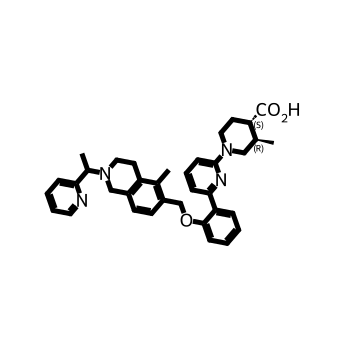 Cc1c(COc2ccccc2-c2cccc(N3CC[C@H](C(=O)O)[C@@H](C)C3)n2)ccc2c1CCN(C(C)c1ccccn1)C2